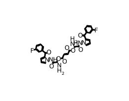 NC(OC(=O)/C=C/C(=O)OC(N)C(=O)Nn1cccc1C(=O)c1cccc(F)c1)C(=O)Nn1cccc1C(=O)c1cccc(F)c1